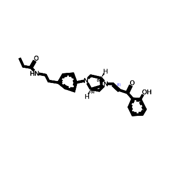 CCC(=O)NCCc1ccc(N2C[C@@H]3C[C@H]2CN3/C=C/C(=O)c2ccccc2O)cc1